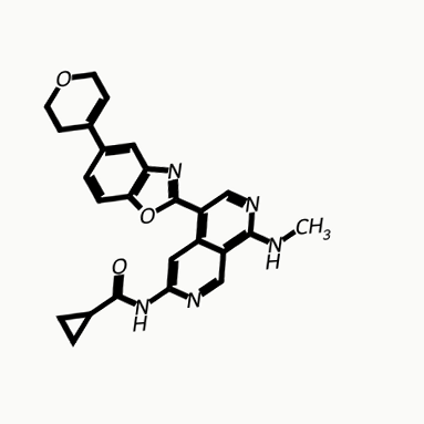 CNc1ncc(-c2nc3cc(C4=CCOCC4)ccc3o2)c2cc(NC(=O)C3CC3)ncc12